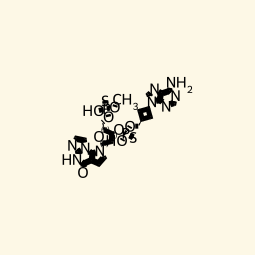 COP(O)(=S)OC[C@H]1O[C@@H](n2ccc3c(=O)[nH]c4nccn4c32)C[C@@H]1OP(O)(=S)OC[C@H]1C[C@@H](n2cnc3c(N)ncnc32)C1